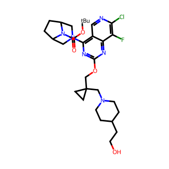 CC(C)(C)OC(=O)N1C2CCC1CN(c1nc(OCC3(CN4CCC(CCO)CC4)CC3)nc3c(F)c(Cl)ncc13)C2